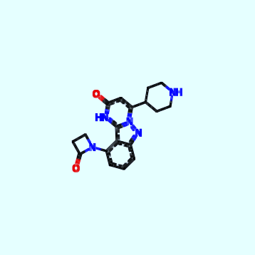 O=C1CCN1c1cccc2nn3c(C4CCNCC4)cc(=O)[nH]c3c12